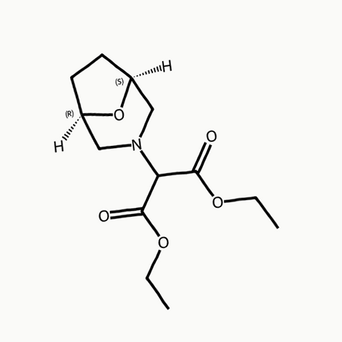 CCOC(=O)C(C(=O)OCC)N1C[C@H]2CC[C@@H](C1)O2